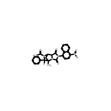 CC12CC(C3C(=O)N(c4ccc([N+](=O)[O-])c5ccccc45)C(=O)N31)N(C(N)=O)C2(F)c1ccccc1